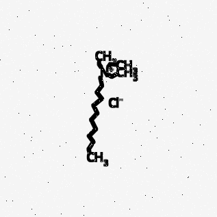 CCCCCCCCCCCC[N+](CC)(CC)CC.[Cl-]